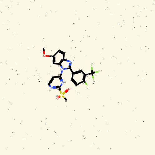 COc1ccc2nc(-c3ccc(F)c(C(F)(F)F)c3)n(-c3ccnc(S(C)(=O)=O)n3)c2c1